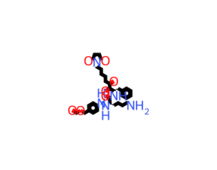 NCCCC[C@H](NNc1ccc(COC=O)cc1)C(=O)N[C@@H](Cc1ccccc1)C(=O)C(=O)CCCCCN1C(=O)CCC1=O